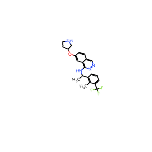 Cc1c([C@@H](C)Nc2nncc3ccc(O[C@H]4CCNC4)cc23)cccc1C(F)(F)F